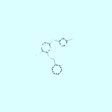 CCc1ncc(Nc2cc(C(C)C)[nH]n2)nc1OCc1ccccc1